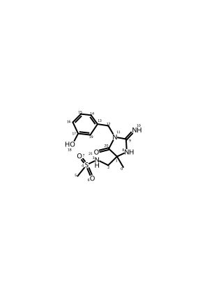 CC1(CNS(C)(=O)=O)NC(=N)N(Cc2cccc(O)c2)C1=O